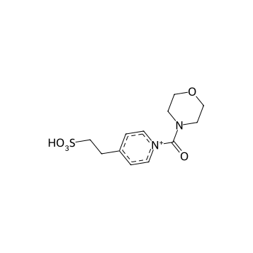 O=C(N1CCOCC1)[n+]1ccc(CCS(=O)(=O)O)cc1